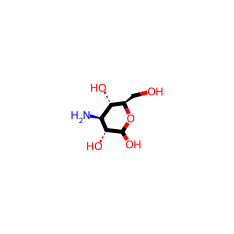 N[C@H]1[C@H](O)[C@@H](CO)OC(O)[C@@H]1O